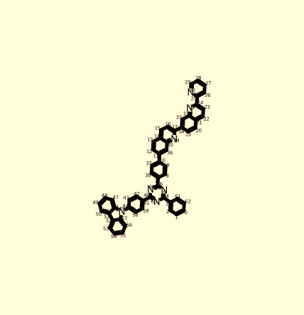 c1ccc(-c2nc(-c3ccc(-c4ccc5ccc(-c6ccc7ccc(-c8ccccn8)nc7c6)nc5c4)cc3)nc(-c3ccc(-n4c5ccccc5c5ccccc54)cc3)n2)cc1